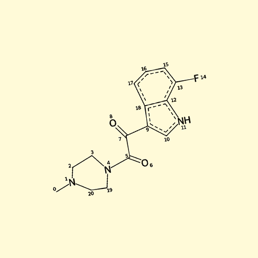 CN1CCN(C(=O)C(=O)c2c[nH]c3c(F)cccc23)CC1